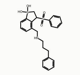 O=S(=O)(c1ccccc1)C1CS(O)(O)c2cccc(CNCCCc3ccccc3)c21